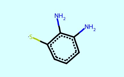 Nc1cccc([S])c1N